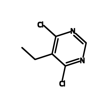 CCc1c(Cl)ncnc1Cl